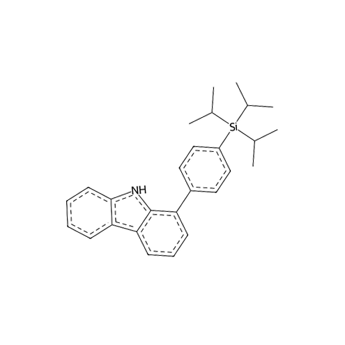 CC(C)[Si](c1ccc(-c2cccc3c2[nH]c2ccccc23)cc1)(C(C)C)C(C)C